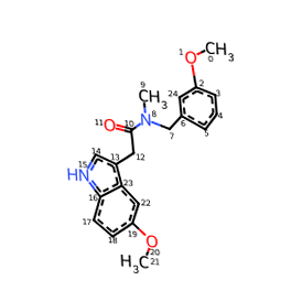 COc1cccc(CN(C)C(=O)Cc2c[nH]c3ccc(OC)cc23)c1